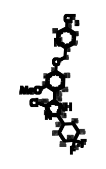 COc1cc(OCc2ccc(C(F)(F)F)cn2)ccc1-c1[nH]c(C2CCC(F)(F)CC2)nc1Cl